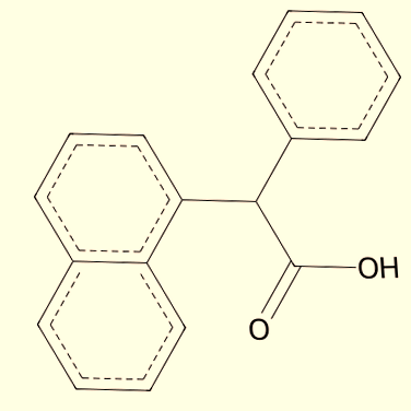 O=C(O)C(c1ccccc1)c1cccc2ccccc12